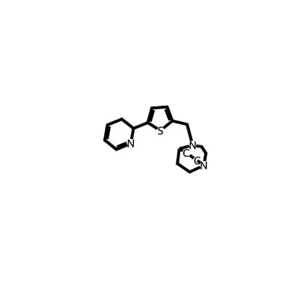 C1=CCC(c2ccc(CN3CCN4CCC3CC4)s2)N=C1